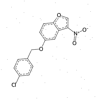 O=[N+]([O-])c1coc2ccc(OCc3ccc(Cl)cc3)cc12